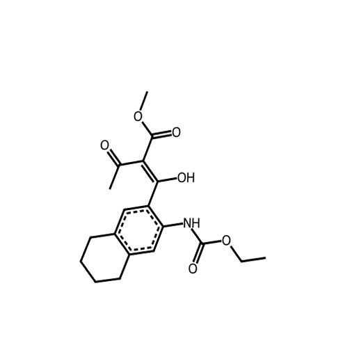 CCOC(=O)Nc1cc2c(cc1/C(O)=C(\C(C)=O)C(=O)OC)CCCC2